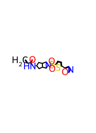 C=CC(=O)NC1CC2CN(S(=O)(=O)c3ccc(-c4cnco4)s3)CC2C1